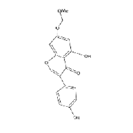 COCOc1cc(O)c2c(=O)c(-c3ccc(O)cc3)coc2c1